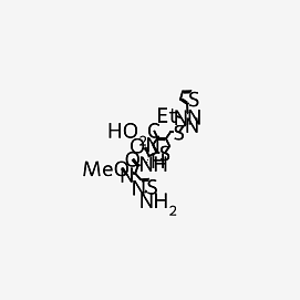 CCn1c(SCC2=C(C(=O)O)N3C(=O)[C@@H](NC(=O)/C(=N\OC)c4csc(N)n4)[C@H]3SC2)nnc1-c1cccs1